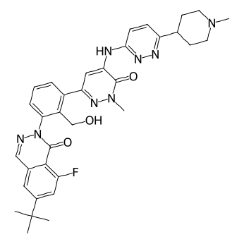 CN1CCC(c2ccc(Nc3cc(-c4cccc(-n5ncc6cc(C(C)(C)C)cc(F)c6c5=O)c4CO)nn(C)c3=O)nn2)CC1